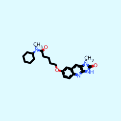 CN(C(=O)CCCCOc1ccc2nc3[nH]c(=O)n(C)c3cc2c1)C1CCCCC1